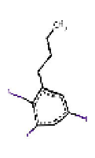 CCCCc1cc(I)cc(I)c1I